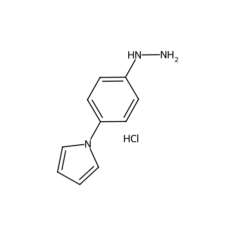 Cl.NNc1ccc(-n2cccc2)cc1